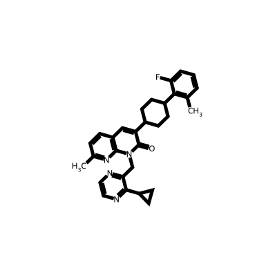 Cc1ccc2cc(C3CCC(c4c(C)cccc4F)CC3)c(=O)n(Cc3nccnc3C3CC3)c2n1